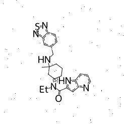 CCN(C(=O)c1cc2ncccc2[nH]1)[C@H]1CCCC(C)(NCc2ccc3nsnc3c2)C1